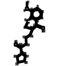 COc1cccc2c1CCC(CCCC(=O)N1CCCC1)C2=O